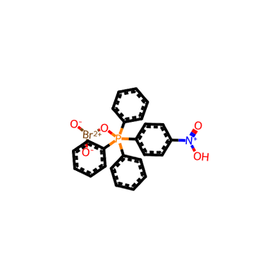 O=[N+](O)c1ccc(P(O[Br+2]([O-])[O-])(c2ccccc2)(c2ccccc2)c2ccccc2)cc1